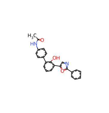 CC(=O)Nc1ccc(-c2cccc(-c3cnc(-c4ccccc4)o3)c2O)cc1